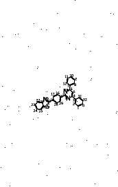 c1ccc(-c2cc(-c3ccccc3)nc(-c3ccc(-c4nc5ccccc5s4)cc3)n2)cc1